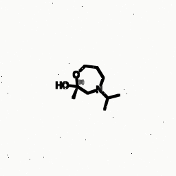 CC(C)N1CCCO[C@@](C)(O)C1